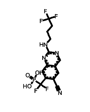 N#Cc1cc2cnc(NCCCC(F)(F)F)nc2cc1C(F)(F)P(=O)(O)O